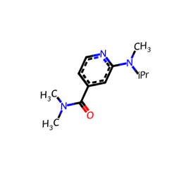 CC(C)N(C)c1cc(C(=O)N(C)C)ccn1